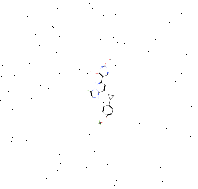 COc1ncc(-c2cc([C@H]3CC3c3ccc(OC(F)(F)F)cc3)c3ncc(F)n3n2)c(OC)n1